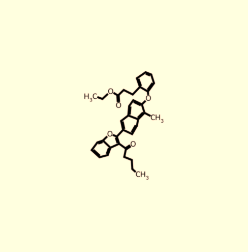 CCCCC(=O)c1c(-c2ccc3c(C)c(Oc4ccccc4CCC(=O)OCC)ccc3c2)oc2ccccc12